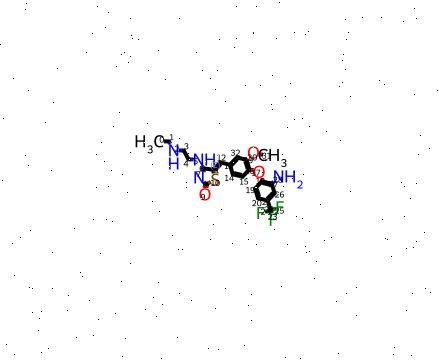 CCNCCNC1=NC(=O)S/C1=C\c1ccc(Oc2ccc(C(F)(F)F)cc2N)c(OC)c1